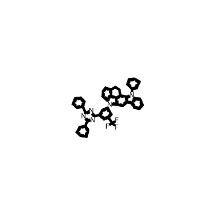 FC(F)(F)c1cc(-c2nc(-c3ccccc3)nc(-c3ccccc3)n2)cc(-n2c3cccc4c3c3c(c5c(cc32)c2ccccc2n5-c2ccccc2)CC4)c1